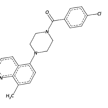 Cc1ccc(N2CCN(C(=O)c3ccc(Cl)cc3)CC2)c2cccnc12